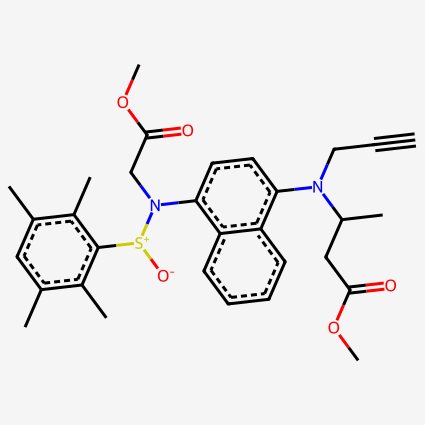 C#CCN(c1ccc(N(CC(=O)OC)[S+]([O-])c2c(C)c(C)cc(C)c2C)c2ccccc12)C(C)CC(=O)OC